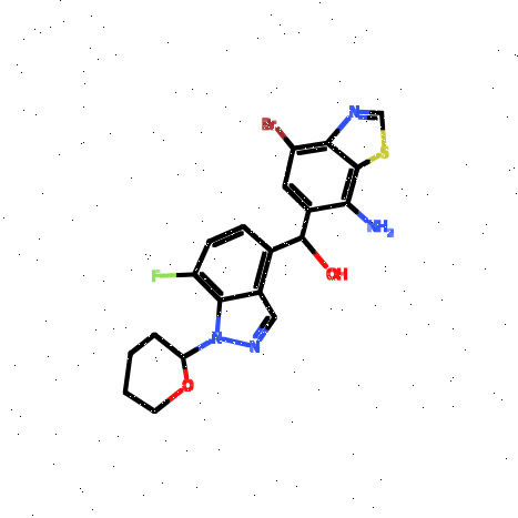 Nc1c(C(O)c2ccc(F)c3c2cnn3C2CCCCO2)cc(Br)c2ncsc12